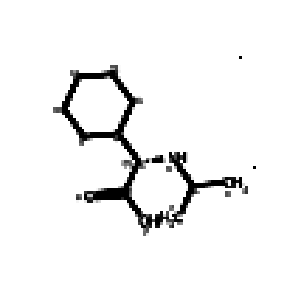 CC(C)N[C@H](C(=O)O)C1CCCCC1